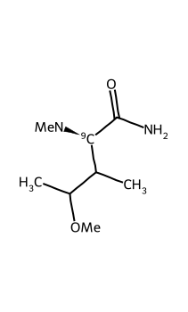 CN[9C@@H](C(N)=O)C(C)C(C)OC